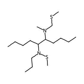 CCCCC(C(CCCC)N(CCC)SC)N(C)CSC